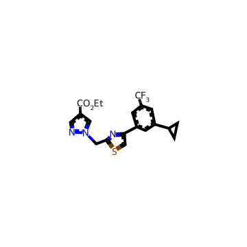 CCOC(=O)c1cnn(Cc2nc(-c3cc(C4CC4)cc(C(F)(F)F)c3)cs2)c1